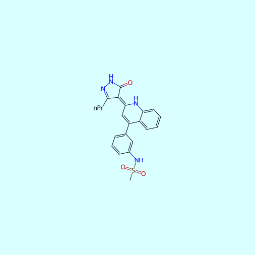 CCCC1=NNC(=O)/C1=C1/C=C(c2cccc(NS(C)(=O)=O)c2)c2ccccc2N1